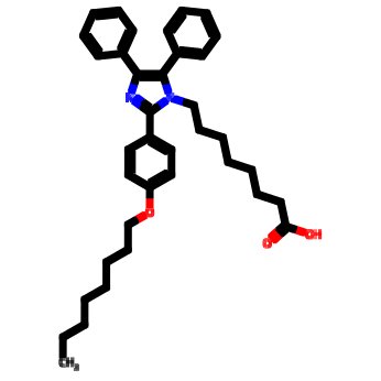 CCCCCCCCOc1ccc(-c2nc(-c3ccccc3)c(-c3ccccc3)n2CCCCCCCC(=O)O)cc1